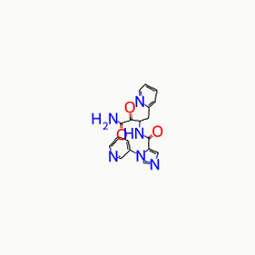 NC(=O)C(=O)C(Cc1ccccn1)NC(=O)c1cncn1-c1cccnc1